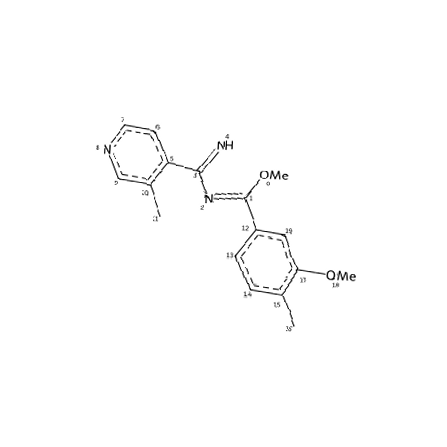 CO/C(=N\C(=N)c1ccncc1C)c1ccc(C)c(OC)c1